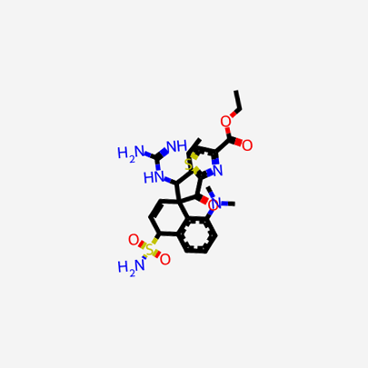 CCCC(NC(=N)N)C1(C(=O)c2nc(C(=O)OCC)cs2)C=CC(S(N)(=O)=O)c2cccc(N(C)C)c21